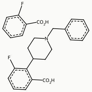 O=C(O)c1cccc(F)c1C1CCN(Cc2ccccc2)CC1.O=C(O)c1ccccc1F